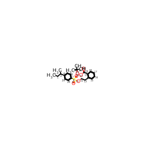 CCC(C)c1ccc(S(=O)(=O)OCCc2ccccc2C(=O)OOC(C)(C)C)cc1